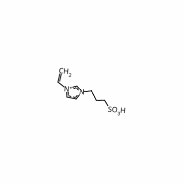 C=C[n+]1ccn(CCCS(=O)(=O)O)c1